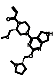 C=CC(=O)N1CCN(c2nc(OC[C@@H]3CCCN3C)nc3c2CNC3)C[C@@H]1CSC